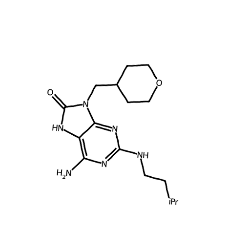 CC(C)CCNc1nc(N)c2[nH]c(=O)n(CC3CCOCC3)c2n1